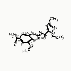 CCn1nc(C)cc1C(=O)N=c1[nH]c2c(OC)cc(C(N)=O)cc2s1